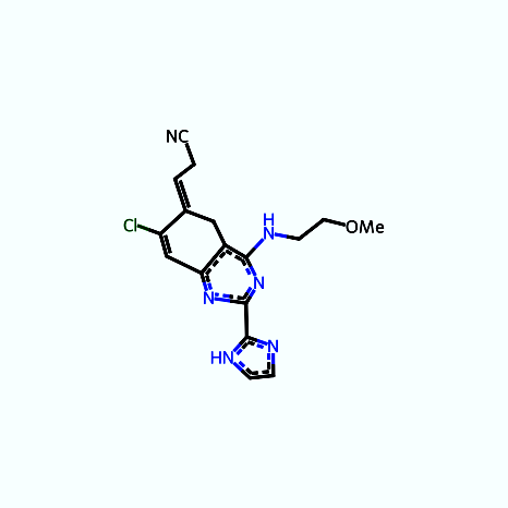 COCCNc1nc(-c2ncc[nH]2)nc2c1CC(=CCC#N)C(Cl)=C2